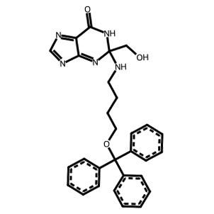 O=C1NC(CO)(NCCCCOC(c2ccccc2)(c2ccccc2)c2ccccc2)N=C2N=CN=C12